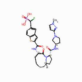 Cn1ccc(N2CC[C@@H](NC(=O)[C@@H]3CC[C@@H]4CCCC[C@H](NC(=O)c5cc6cc(C(F)P(=O)(O)O)ccc6s5)C(=O)N43)C2)n1